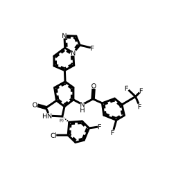 O=C(Nc1cc(-c2ccc3ncc(F)n3c2)cc2c1[C@H](c1cc(F)ccc1Cl)NC2=O)c1cc(F)cc(C(F)(F)F)c1